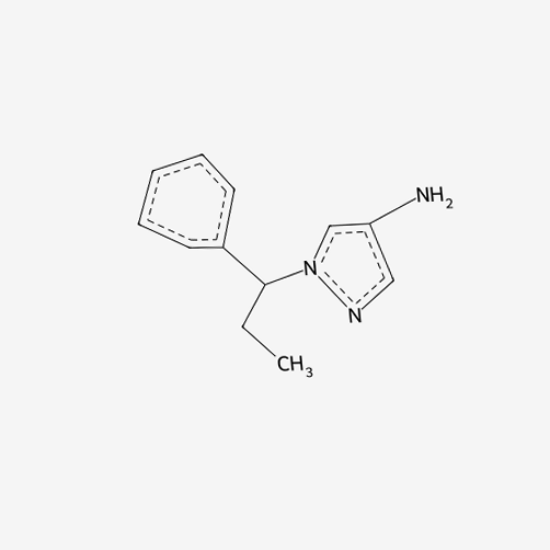 CCC(c1ccccc1)n1cc(N)cn1